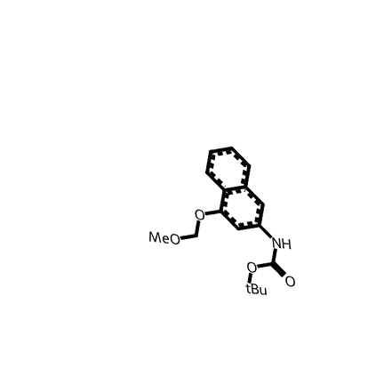 COCOc1cc(NC(=O)OC(C)(C)C)cc2ccccc12